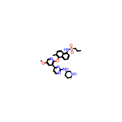 CCCS(=O)(=O)Nc1cccc2c(Oc3ncc(OC)cc3-c3ccnc(N[C@H]4CCCNC4)n3)c(C)ccc12